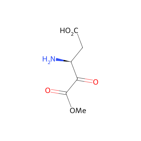 COC(=O)C(=O)[C@@H](N)CC(=O)O